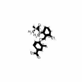 CCC(=O)c1ccc(OCc2c(CC)cccc2N(N)C(=O)N(C)N)c(C)c1